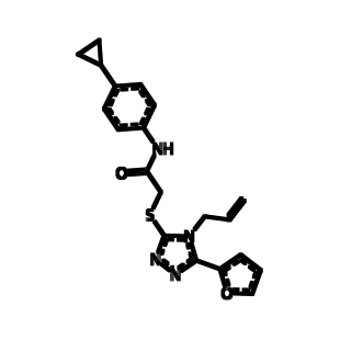 C=CCn1c(SCC(=O)Nc2ccc(C3CC3)cc2)nnc1-c1ccco1